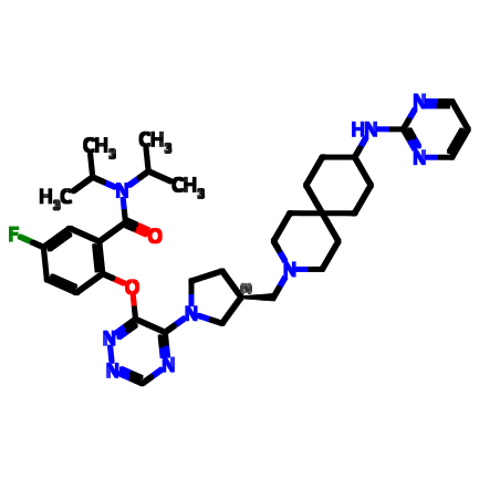 CC(C)N(C(=O)c1cc(F)ccc1Oc1nncnc1N1CC[C@@H](CN2CCC3(CCC(Nc4ncccn4)CC3)CC2)C1)C(C)C